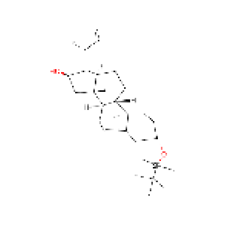 C=C[C@@H](C)[C@H]1[C@H](O)C[C@H]2[C@@H]3CC=C4C[C@@H](O[Si](C)(C)C(C)(C)C)CC[C@]4(C)[C@H]3CC[C@]12C